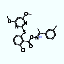 COc1cc(OC)nc(Sc2cccc(Cl)c2C(=O)O/N=C(\C)c2cccc(C)c2)n1